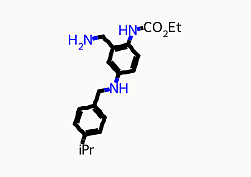 CCOC(=O)Nc1ccc(NCc2ccc(C(C)C)cc2)cc1CN